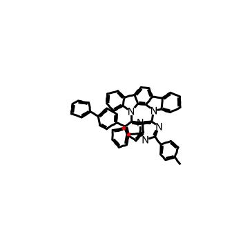 Cc1ccc(-c2nc(-c3ccccc3)nc(-n3c4ccccc4c4ccc5c6ccccc6n(-c6ccccc6-c6ccc(-c7ccccc7)cc6)c5c43)n2)cc1